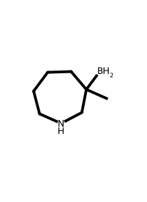 BC1(C)CCCCNC1